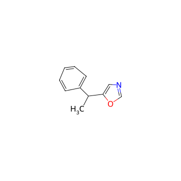 CC(c1ccccc1)c1cnco1